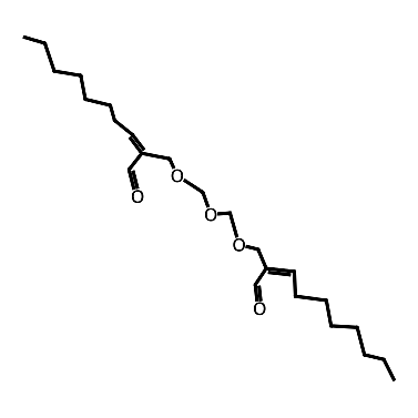 CCCCCCCC=C(C=O)COCOCOCC(C=O)=CCCCCCCC